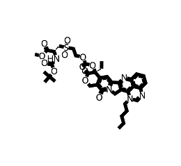 CCCCCN1C=Nc2cccc3nc4c(c1c23)Cn1c-4cc2c(c1=O)COC(=O)[C@@]2(CC)OC(=O)OCCS(=O)(=O)C[C@H](NC(=O)OC(C)(C)C)C(=O)OC